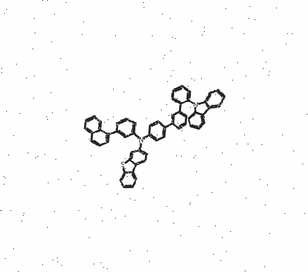 c1cc(-c2ccc(N(c3cccc(-c4cccc5ccccc45)c3)c3ccc4c(c3)sc3ccccc34)cc2)cc(-c2ccccc2-n2c3ccccc3c3ccccc32)c1